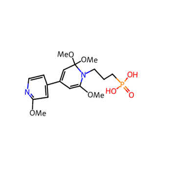 COC1=CC(c2ccnc(OC)c2)=CC(OC)(OC)N1CCCP(=O)(O)O